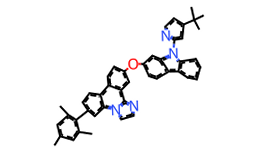 Cc1cc(C)c(-c2ccc3c4ccc(Oc5ccc6c7ccccc7n(-c7cc(C(C)(C)C)ccn7)c6c5)cc4c4nccn4c3c2)c(C)c1